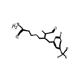 CC(C=O)C(CCCCC(N)=O)Cc1cc(F)cc(C(F)(F)F)c1